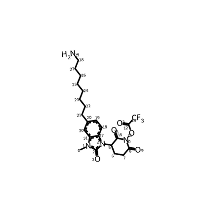 Cn1c(=O)n(C2CCC(=O)N(OC(=O)C(F)(F)F)C2=O)c2ccc(CCCCCCCCN)cc21